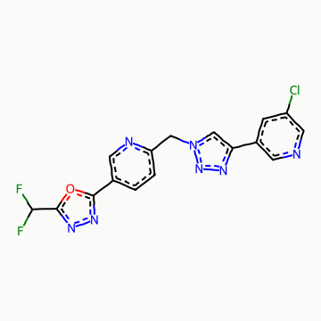 FC(F)c1nnc(-c2ccc(Cn3cc(-c4cncc(Cl)c4)nn3)nc2)o1